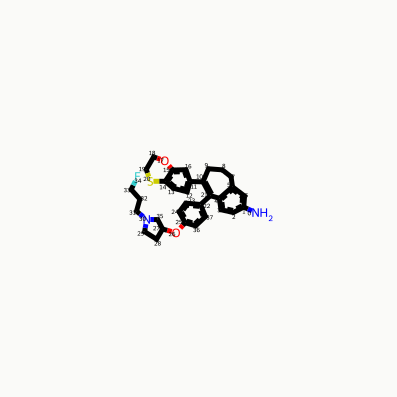 Nc1ccc2c(c1)CCCC(c1ccc3c(c1)OCCS3)=C2c1ccc(OC2CCN(CCCF)C2)cc1